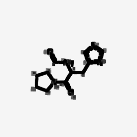 O=CNC(Cc1cscn1)C(=O)N1CCCC1